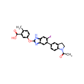 CC(=O)N1CCc2cc(-c3cc4nc(Oc5ccc(C)c(C(=O)O)c5)[nH]c4cc3I)ccc21